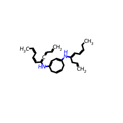 C=CC=C=C(/C=C\C=C/C)N/C1=C/C=C(/N/C(=C/C=C\CC)CC=C)C/C=C\C1